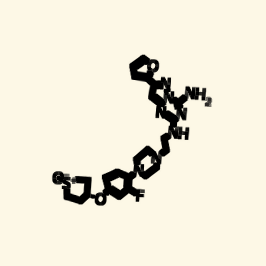 Nc1nc(NCCN2CCN(c3ccc(O[C@H]4CC[S@+]([O-])CC4)cc3F)CC2)nc2cc(-c3ccco3)nn12